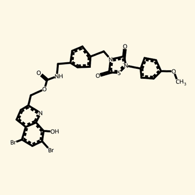 COc1ccc(-n2sc(=O)n(Cc3ccc(CNC(=O)OCc4ccc5c(Br)cc(Br)c(O)c5n4)cc3)c2=O)cc1